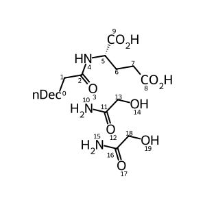 CCCCCCCCCCCC(=O)N[C@@H](CCC(=O)O)C(=O)O.NC(=O)CO.NC(=O)CO